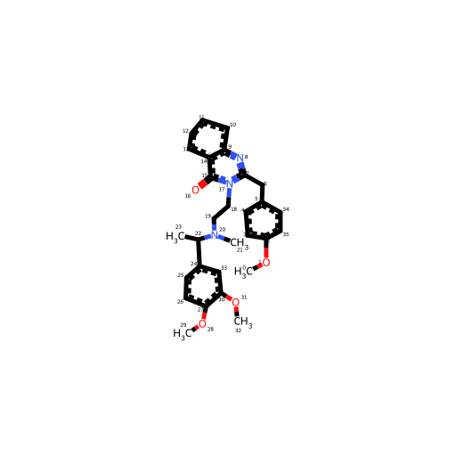 COc1ccc(Cc2nc3ccccc3c(=O)n2CCN(C)C(C)c2ccc(OC)c(OC)c2)cc1